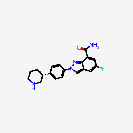 NC(=O)c1cc(F)cc2cn(-c3ccc([C@H]4CCCNC4)cc3)nc12